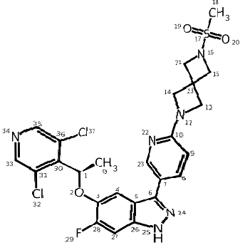 C[C@@H](Oc1cc2c(-c3ccc(N4CC5(C4)CN(S(C)(=O)=O)C5)nc3)n[nH]c2cc1F)c1c(Cl)cncc1Cl